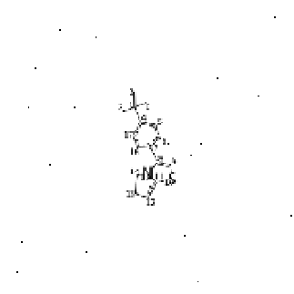 CC(C)(C)c1ccc(C2=CSC3=CCCN32)cc1